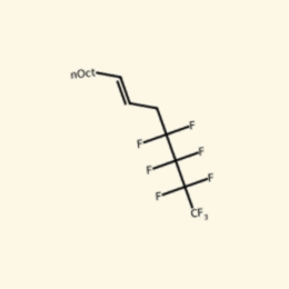 CCCCCCCCC=CCC(F)(F)C(F)(F)C(F)(F)C(F)(F)F